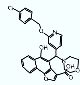 O=C(O)c1coc2c1c(C(c1ccnc(OCc3ccc(Cl)cc3)c1)N1CCOCC1)c(O)c1ccccc12